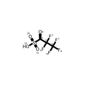 O=C(C(F)(F)C(F)(F)F)S(=O)(=O)O